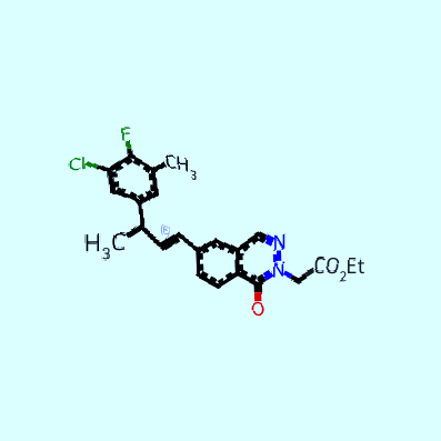 CCOC(=O)Cn1ncc2cc(/C=C/C(C)c3cc(C)c(F)c(Cl)c3)ccc2c1=O